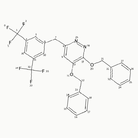 FC(F)(F)c1cc(Cc2cc(OCc3ccccc3)c(OCc3ccccc3)nn2)cc(C(F)(F)F)c1